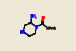 CCCCCC(=O)N1CCNCC1N